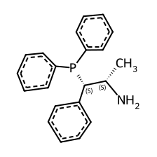 C[C@H](N)[C@H](c1ccccc1)P(c1ccccc1)c1ccccc1